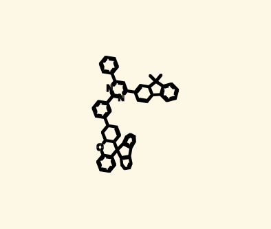 CC1(C)c2ccccc2C2C=CC(c3cc(-c4ccccc4)nc(-c4cccc(C5C=CC6C(C5)Oc5ccccc5C65C6=C(C=CCC6)c6ccccc65)c4)n3)=CC21